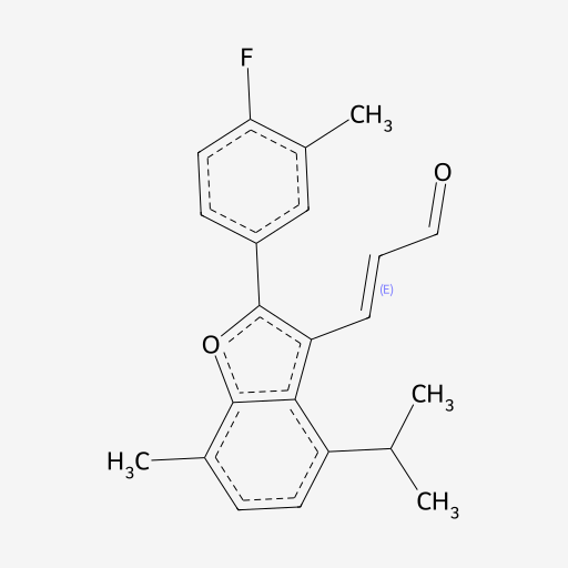 Cc1cc(-c2oc3c(C)ccc(C(C)C)c3c2/C=C/C=O)ccc1F